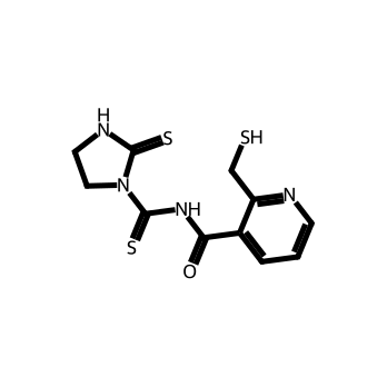 O=C(NC(=S)N1CCNC1=S)c1cccnc1CS